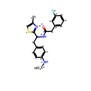 CCc1csc(C(Cc2[c]cc(NS(=O)(=O)O)cc2)NC(=O)Cc2cccc(F)c2)n1